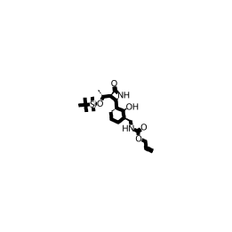 C=CCOC(=O)NC[C@H]1CCC[C@H]([C@H]2NC(=O)[C@@H]2[C@@H](C)O[Si](C)(C)C(C)(C)C)[C@@H]1O